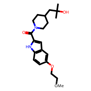 COCCOc1ccc2[nH]c(C(=O)N3CCC(CC(C)(C)O)CC3)cc2c1